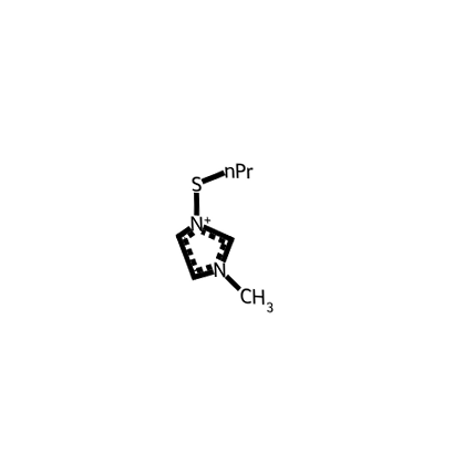 CCCS[n+]1ccn(C)c1